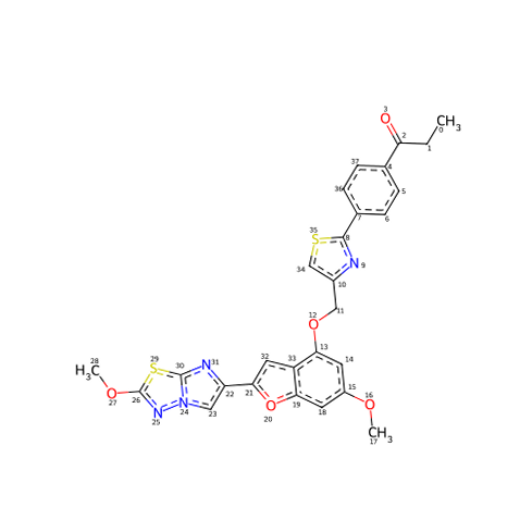 CCC(=O)c1ccc(-c2nc(COc3cc(OC)cc4oc(-c5cn6nc(OC)sc6n5)cc34)cs2)cc1